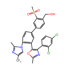 Cc1nc(-c2ccc(Cl)cc2Cl)c(-c2cc(-c3ccc(CO)c(S(C)(=O)=O)c3)ccc2-n2cc(C(F)(F)F)nc2C)o1